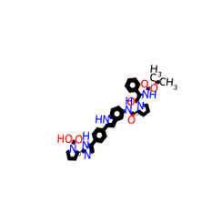 CC(C)OC(=O)N[C@@H](C(=O)N1CCC[C@H]1C(=O)Nc1ccc2[nH]c(-c3ccc(-c4cnc([C@@H]5CCCN5C(=O)O)[nH]4)cc3)cc2c1)c1ccccc1